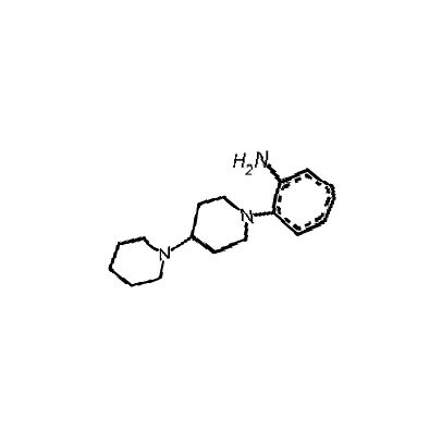 Nc1ccccc1N1CCC(N2CCCCC2)CC1